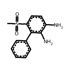 CS(=O)(=O)c1ccc(N)c(N)c1-c1ccccc1